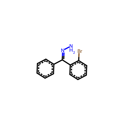 NN=C(c1ccccc1)c1ccccc1Br